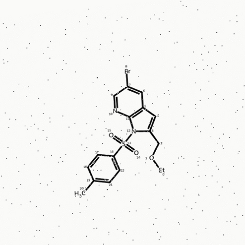 CCOCc1cc2cc(Br)cnc2n1S(=O)(=O)c1ccc(C)cc1